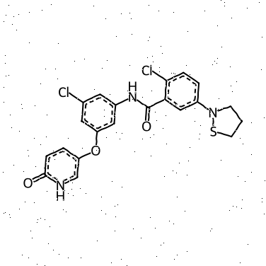 O=C(Nc1cc(Cl)cc(Oc2ccc(=O)[nH]c2)c1)c1cc(N2CCCS2)ccc1Cl